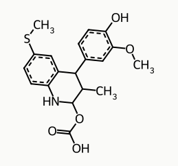 COc1cc(C2c3cc(SC)ccc3NC(OC(=O)O)C2C)ccc1O